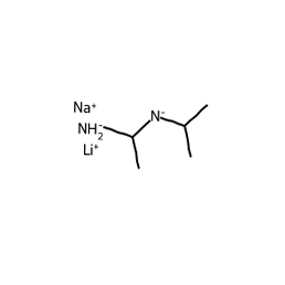 CC(C)[N-]C(C)C.[Li+].[NH2-].[Na+]